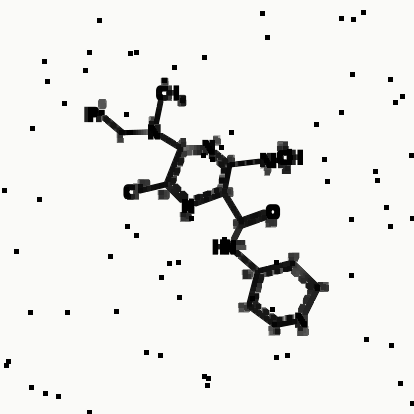 CC(C)CN(C)c1nc(N)c(C(=O)Nc2ccncc2)nc1Cl.Cl